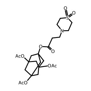 CC(=O)OC12CC3(OC(C)=O)CC(OC(C)=O)(C1)CC(OC(=O)CCN1CCS(=O)(=O)CC1)(C2)C3